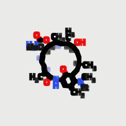 C=C1C=C2NC(=O)/C(C)=C/C=C\[C@H](OC)[C@@H](OC(N)=O)/C(C)=C/[C@H](C)[C@@H](O)CC[C@H](C)CC(=C1N(C)CC)C2=O